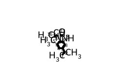 CC(C)c1ccc2c(c1)[nH]c(=O)n2C(C)(C)C